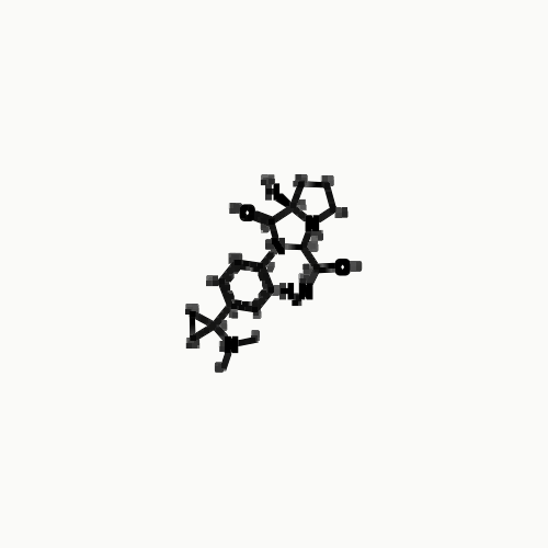 CN(C)C1(c2ccc(N3C(=O)[C@@H]4[CH]CCN4C3C(N)=O)cc2)CC1